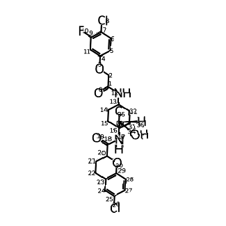 O=C(COc1ccc(Cl)c(F)c1)NC12CCC(NC(=O)C3CCc4cc(Cl)ccc4O3)(CC1)[C@@H](O)C2